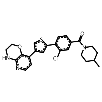 CC1CCN(C(=O)c2ccc(-c3cc(-c4ccnc5c4OCCN5)cs3)c(Cl)c2)CC1